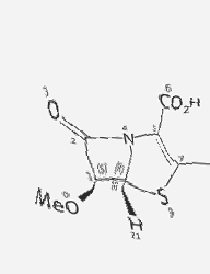 CO[C@H]1C(=O)N2C(C(=O)O)=C(C)S[C@H]12